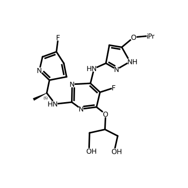 CC(C)Oc1cc(Nc2nc(N[C@@H](C)c3ccc(F)cn3)nc(OC(CO)CO)c2F)n[nH]1